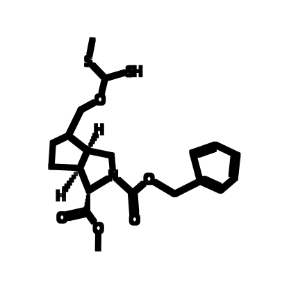 COC(=O)[C@@H]1[C@H]2CCC(COC(S)SC)[C@H]2CN1C(=O)OCc1ccccc1